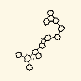 c1ccc(C2=NC(c3ccccc3)NC(c3ccc(-c4ccc5c(c4)oc4ccc(-c6cccc(-c7cccc(-c8ccc9c%10ccccc%10c%10ccccc%10c9c8)c7)c6)cc45)c4ccccc34)=N2)cc1